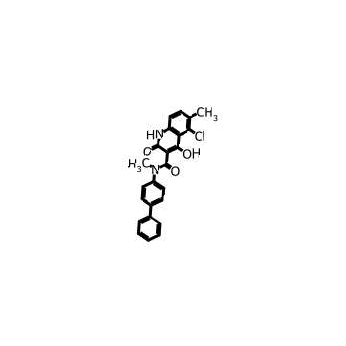 Cc1ccc2[nH]c(=O)c(C(=O)N(C)c3ccc(-c4ccccc4)cc3)c(O)c2c1Cl